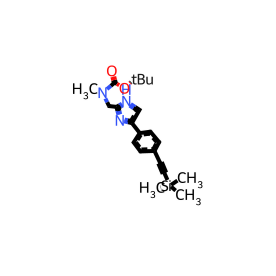 CN(Cc1nc(-c2ccc(C#C[Si](C)(C)C)cc2)c[nH]1)C(=O)OC(C)(C)C